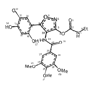 CCNC(=O)Oc1noc(-c2cc(Cl)c(O)cc2O)c1NC(=O)c1cc(OC)c(OC)c(OC)c1